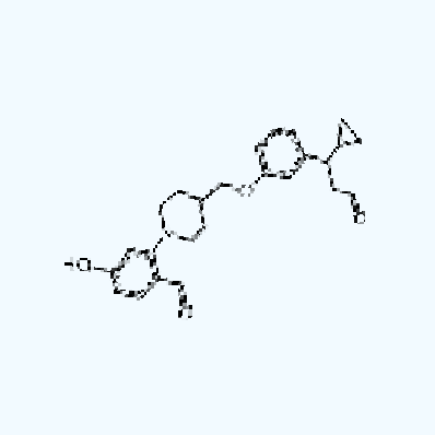 O=CCC(c1cccc(OCC2CCN(c3cc(O)ccc3C=O)CC2)c1)C1CC1